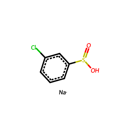 O=S(O)c1cccc(Cl)c1.[Na]